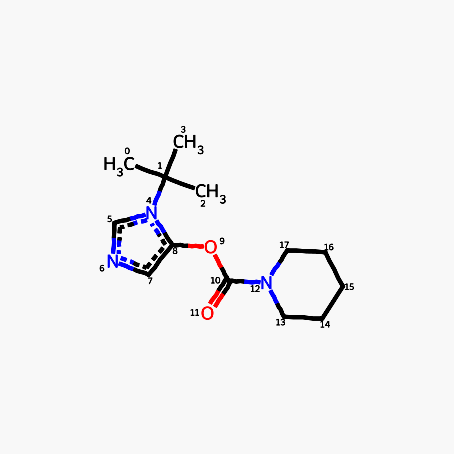 CC(C)(C)n1cncc1OC(=O)N1CCCCC1